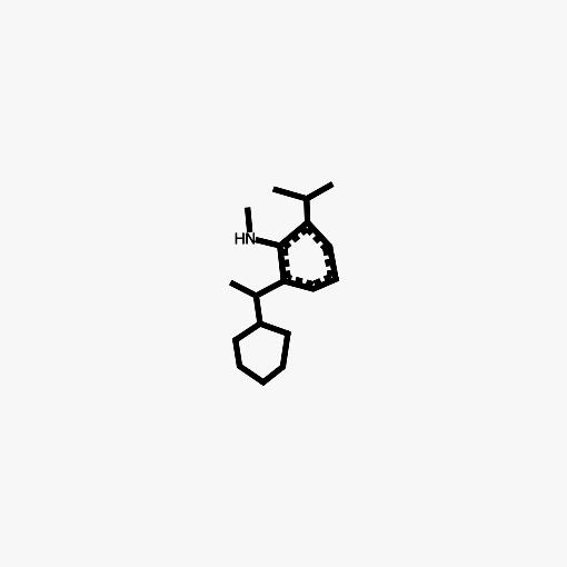 CNc1c(C(C)C)cccc1C(C)C1CCCCC1